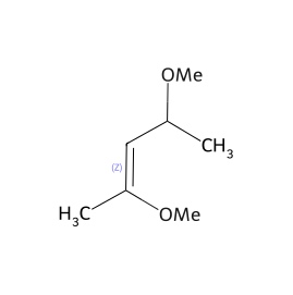 CO/C(C)=C\C(C)OC